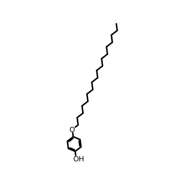 CCCCCCCCCCCCCCCCCCOc1ccc(O)cc1